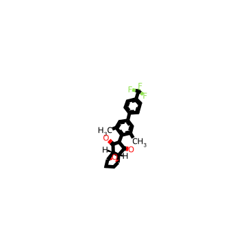 Cc1cc(-c2ccc(C(F)(F)F)cc2)cc(C)c1C1C(=O)[C@@H]2C3CCC(O3)[C@@H]2C1=O